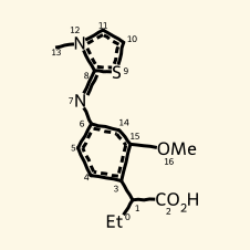 CCC(C(=O)O)c1ccc(/N=c2\sccn2C)cc1OC